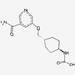 NC(=O)c1cncc(OC[C@H]2CC[C@H](NC(=O)O)CC2)c1